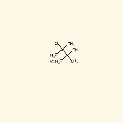 CC(C)(C)[Si](C)(C)Cl.Cl